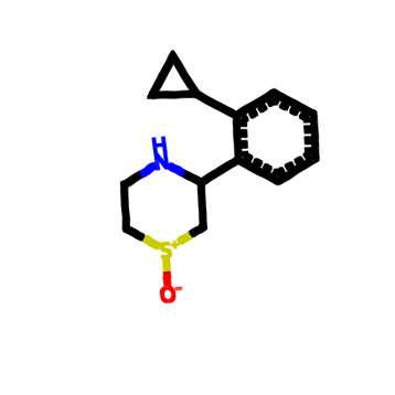 [O-][S+]1CCNC(c2ccccc2C2CC2)C1